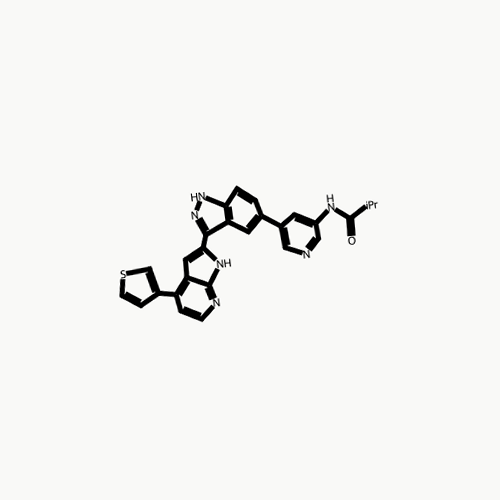 CC(C)C(=O)Nc1cncc(-c2ccc3[nH]nc(-c4cc5c(-c6ccsc6)ccnc5[nH]4)c3c2)c1